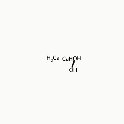 OO.[CaH2].[CaH2]